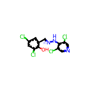 Oc1c(Cl)cc(Cl)cc1/C=N/Nc1c(Cl)cncc1Cl